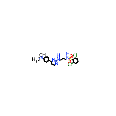 CN(C)c1ccc(-c2ccnc(NCCCNS(=O)(=O)c3c(Cl)cccc3Cl)n2)cc1